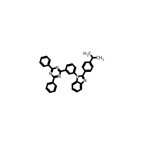 CC(C)c1ccc(-c2nc3ccccc3n2-c2cccc(-c3nc(-c4ccccc4)nc(-c4ccccc4)n3)c2)cc1